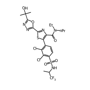 CCCN(CC)C(=O)c1nc(-c2nnc(C(C)(C)O)o2)sc1-c1ccc(S(=O)(=O)NC(C)C(F)(F)F)c(Cl)c1Cl